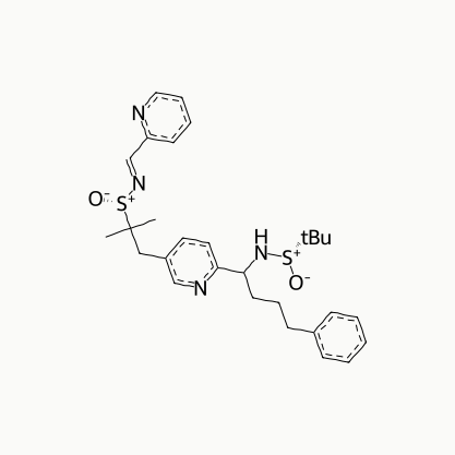 CC(C)(C)[S@+]([O-])NC(CCCc1ccccc1)c1ccc(CC(C)(C)[S@+]([O-])/N=C/c2ccccn2)cn1